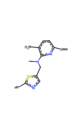 CCCc1ncc(CN(C)c2nc(OC)ccc2[N+](=O)[O-])s1